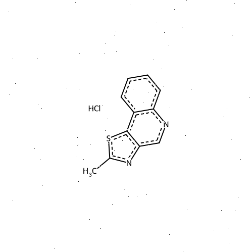 Cc1nc2cnc3ccccc3c2s1.Cl